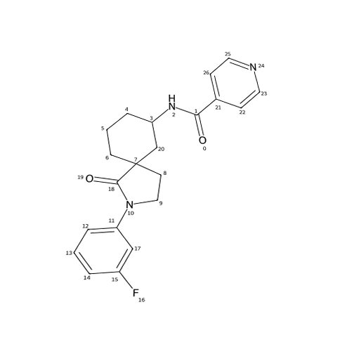 O=C(NC1CCCC2(CCN(c3cccc(F)c3)C2=O)C1)c1ccncc1